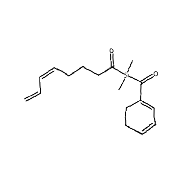 C=C/C=C\CCCC(=O)[Si](C)(C)C(=O)C1=CC=CCC1